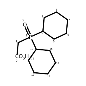 O=C(O)CP(=O)(C1CCCCC1)C1CCCCC1